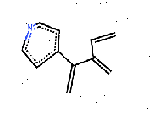 C=CC(=C)C(=C)c1ccncc1